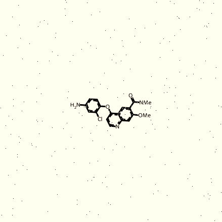 CNC(=O)c1cc2c(Oc3ccc(N)cc3Cl)ccnc2cc1OC